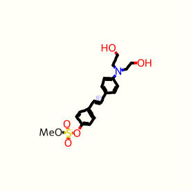 COS(=O)(=O)Oc1ccc(/C=C/c2ccc(N(CCO)CCO)cc2)cc1